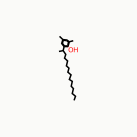 CCCCCCCCCCCCCCC(C)c1cc(C)cc(C)c1O